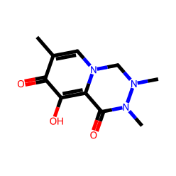 Cc1cn2c(c(O)c1=O)C(=O)N(C)N(C)C2